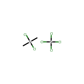 C[Si](C)(Cl)Cl.Cl[Si](Cl)(Cl)Cl